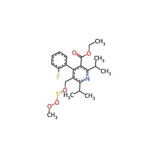 CCOC(=O)c1c(C(C)C)nc(C(C)C)c(COSOOC)c1-c1ccccc1F